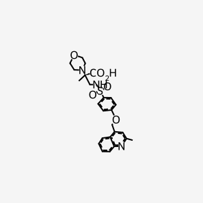 Cc1cc(COc2ccc(S(=O)(=O)NC[C@@](C)(C(=O)O)N3CCOCC3)cc2)c2ccccc2n1